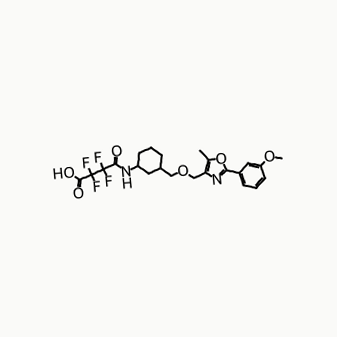 COc1cccc(-c2nc(COCC3CCCC(NC(=O)C(F)(F)C(F)(F)C(=O)O)C3)c(C)o2)c1